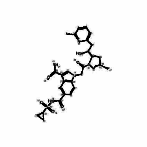 Cc1cccc(CC(O)C2C[C@@H](F)CN2C(=O)Cn2cc(C(N)=O)c3cc(C(=O)NS(=O)(=O)C4CC4)ccc32)n1